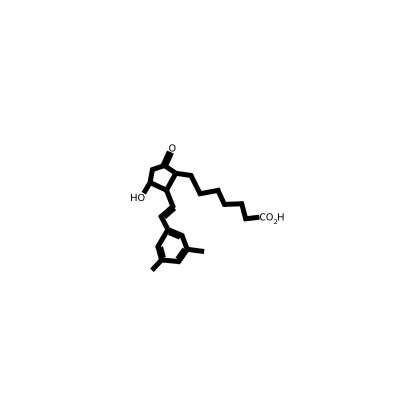 Cc1cc(C)cc(C=CC2C(O)CC(=O)C2CCCCCCC(=O)O)c1